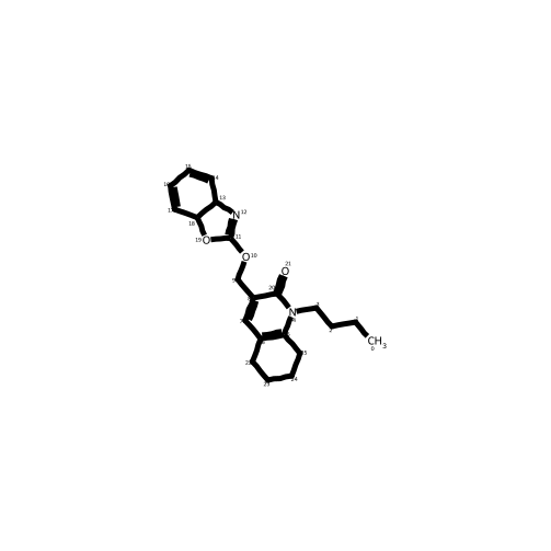 CCCCn1c2c(cc(COC3=NC4C=CC=CC4O3)c1=O)CCCC2